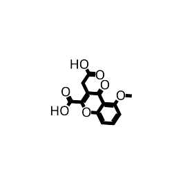 COc1cccc2oc(C(=O)O)c(CC(=O)O)c(=O)c12